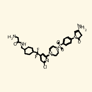 NCC(=O)NCC1CCC(C(F)(F)c2cc(Cl)nc(N3CCN(S(=O)(=O)c4ccc(N5C[C@H](N)CC5=O)cc4)CC3)c2)CC1